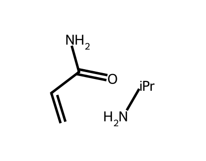 C=CC(N)=O.CC(C)N